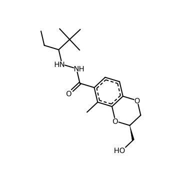 CCC(NNC(=O)c1ccc2c(c1C)O[C@H](CO)CO2)C(C)(C)C